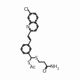 CC(=O)SC(SCCC(N)=O)c1cccc(/C=C/c2ccc3ccc(Cl)cc3n2)c1